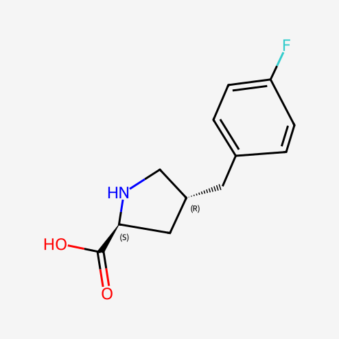 O=C(O)[C@@H]1C[C@@H](Cc2ccc(F)cc2)CN1